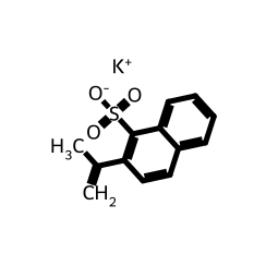 C=C(C)c1ccc2ccccc2c1S(=O)(=O)[O-].[K+]